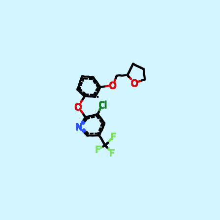 FC(F)(F)c1cnc(Oc2[c]c(OCC3CCCO3)ccc2)c(Cl)c1